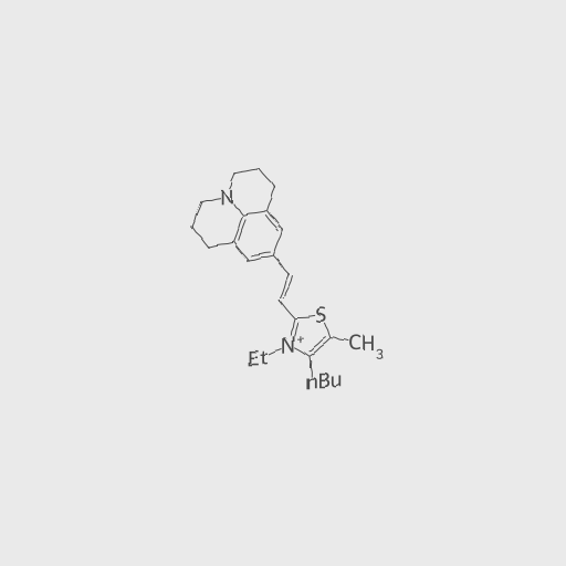 CCCCc1c(C)sc(C=Cc2cc3c4c(c2)CCCN4CCC3)[n+]1CC